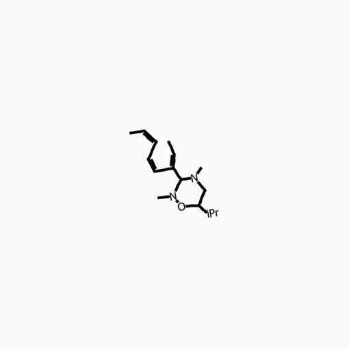 C\C=C/C=C\C(=C/C)C1N(C)CC(C(C)C)ON1C